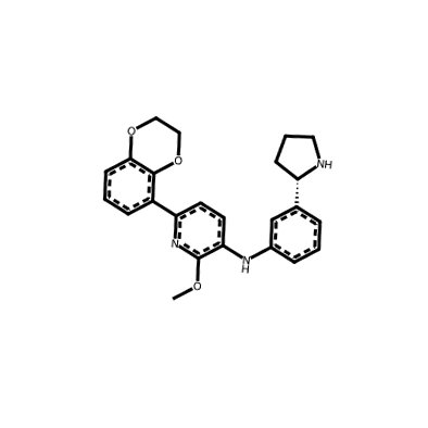 COc1nc(-c2cccc3c2OCCO3)ccc1Nc1cccc([C@@H]2CCCN2)c1